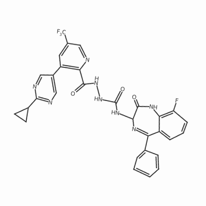 O=C(NNC(=O)c1ncc(C(F)(F)F)cc1-c1cnc(C2CC2)nc1)NC1N=C(c2ccccc2)c2cccc(F)c2NC1=O